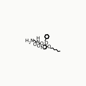 CCCCCCOc1ccnc(OC(=O)NC(=O)CN)c1OCc1ccccc1